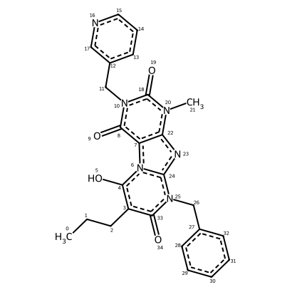 CCCc1c(O)n2c3c(=O)n(Cc4cccnc4)c(=O)n(C)c3nc2n(Cc2ccccc2)c1=O